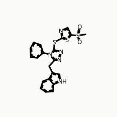 CS(=O)(=O)c1cnc(Sc2nnc(Cc3c[nH]c4ccccc34)n2-c2ccccc2)s1